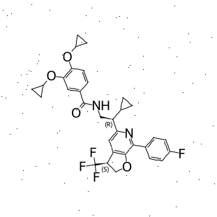 O=C(NC[C@H](c1cc2c(c(-c3ccc(F)cc3)n1)OC[C@H]2C(F)(F)F)C1CC1)c1ccc(OC2CC2)c(OC2CC2)c1